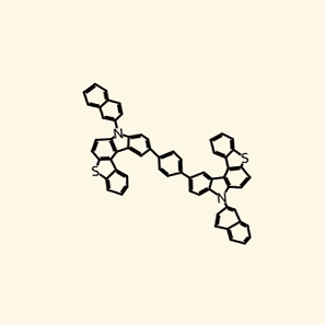 c1ccc2cc(-n3c4ccc(-c5ccc(-c6ccc7c(c6)c6c8c(ccc6n7-c6ccc7ccccc7c6)sc6ccccc68)cc5)cc4c4c5c(ccc43)sc3ccccc35)ccc2c1